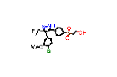 COc1cc(-c2c(C(F)(F)F)n[nH]c2-c2ccc(S(=O)(=O)CCO)cc2)ccc1Br